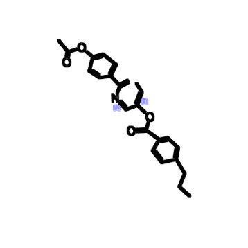 C=C(/N=C\C(=C/C)OC(=O)c1ccc(CCC)cc1)c1ccc(OC(C)=O)cc1